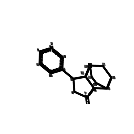 c1cncc(C2CNC3C4CCN(CC4)C23)c1